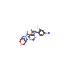 [C-]#[N+]c1ccc(Nc2cc(OC3C4COCC3CN(C(=O)OC(C)C)C4)ncn2)c(Cl)c1